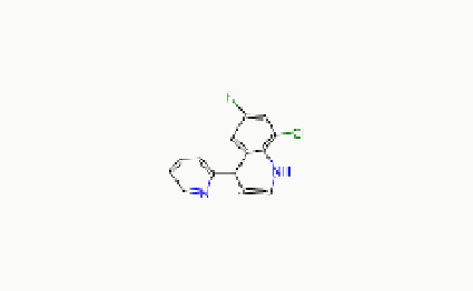 Fc1cc(Cl)c2c(c1)C(c1ccccn1)[C]=CN2